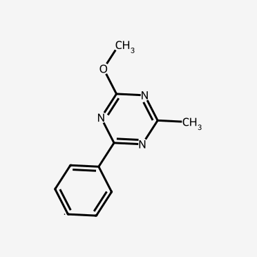 COc1nc(C)nc(-c2cc[c]cc2)n1